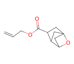 C=CCOC(=O)C1CC23CC(O2)C1C3